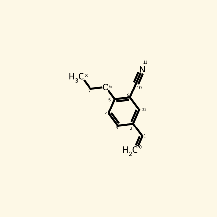 C=Cc1ccc(OCC)c(C#N)c1